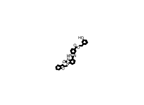 O=C(OCCc1cccc(O)c1)c1ccc2[nH]c(-c3cccc4c3[nH]c(=O)n4CC3Cc4ccccc4O3)nc2c1